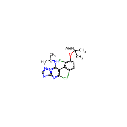 CNC(C)(C)Oc1ccc(F)c(-c2c(Cl)nc3ncnn3c2N[C@@H](C)C(F)(F)F)c1F